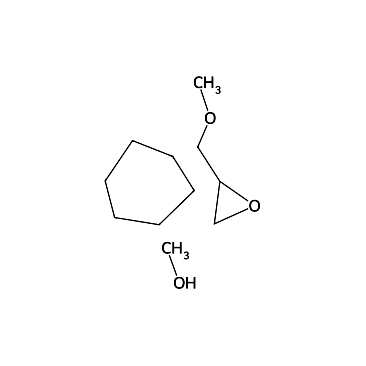 C1CCCCC1.CO.COCC1CO1